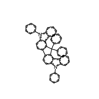 c1ccc(-n2c3ccccc3c3c4c(ccc32)-c2ccc3c(c2C4(c2ccccc2)c2ccccc2)c2ccccc2n3-c2ccccc2)cc1